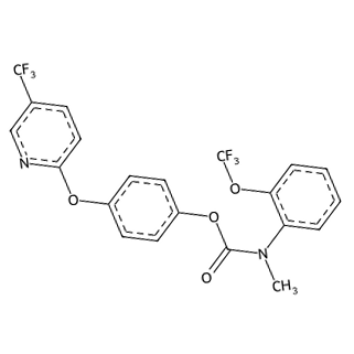 CN(C(=O)Oc1ccc(Oc2ccc(C(F)(F)F)cn2)cc1)c1ccccc1OC(F)(F)F